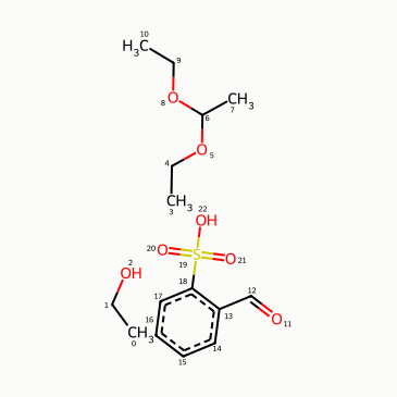 CCO.CCOC(C)OCC.O=Cc1ccccc1S(=O)(=O)O